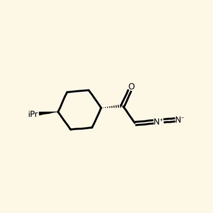 CC(C)[C@H]1CC[C@H](C(=O)C=[N+]=[N-])CC1